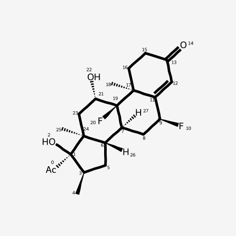 CC(=O)[C@@]1(O)[C@H](C)C[C@H]2[C@@H]3C[C@H](F)C4=CC(=O)CC[C@]4(C)[C@@]3(F)[C@@H](O)C[C@@]21C